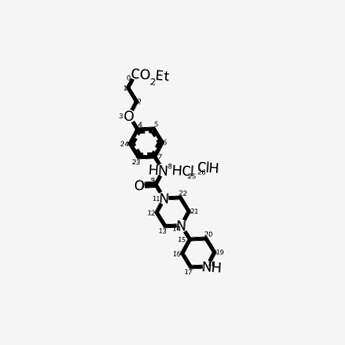 CCOC(=O)CCOc1ccc(NC(=O)N2CCN(C3CCNCC3)CC2)cc1.Cl.Cl